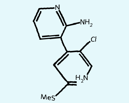 C=C(/C=C(\C(Cl)=C/N)c1cccnc1N)SC